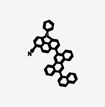 N#Cc1ccc2c3c1ccc1c(-c4cc5c6ccccc6c(-c6cccc7ccccc67)cc5c5ccccc45)ccc(c13)n2-c1ccccc1